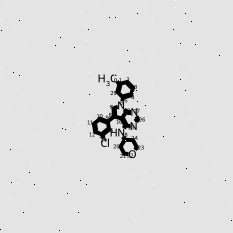 Cc1cccc(-n2cc(-c3cccc(Cl)c3)c3c(NC4CCOCC4)ncnc32)c1